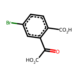 O=C(O)C(=O)c1cc(Br)ccc1C(=O)O